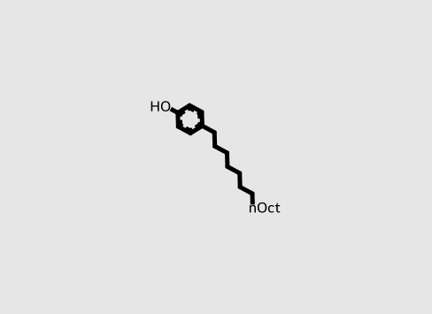 CCCCCCCCCCCCCCCc1ccc(O)cc1